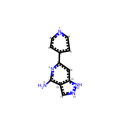 Nc1nc(-c2ccncc2)cc2[nH]ncc12